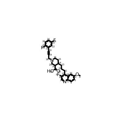 COc1ccc2ncc(F)c(CCCC3CCN(CC#Cc4cc(F)ccc4F)CC3C(=O)O)c2c1